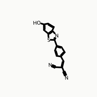 N#CC(C#N)=Cc1ccc(-c2nc3ccc(O)cc3s2)cc1